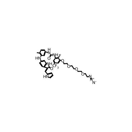 Cc1ccc(NC(=O)Nc2cc(C(F)(F)F)cc(OCCOCCOCCOCCN=[N+]=[N-])c2F)cc1Nc1ccc2c(c1)NC(=O)/C2=C\c1ccc[nH]1